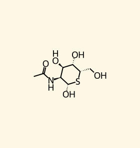 CC(=O)N[C@H]1[C@@H](O)[C@H](O)[C@H](CO)S[C@@H]1O